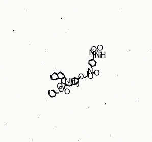 NC(Cc1ccc(OCC2CN(c3ccc(-c4noc(=O)[nH]4)cc3)C(=O)O2)cc1)(C(=O)OCc1ccccc1)C(=O)c1cccc2ccccc12